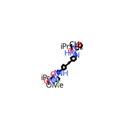 COC(=O)N[C@H](C(=O)N1C[C@@H](F)C[C@H]1c1ncc(-c2ccc(C#Cc3ccc4nc([C@@H]5C[C@@]6(CCCO6)CN5C(=O)[C@@H](C)C(C)C)[nH]c4c3)cc2)[nH]1)C(C)C